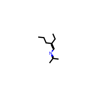 CCC/C(=C\N=C(C)C)CC